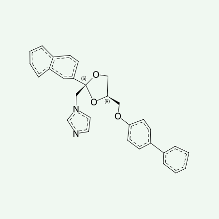 c1ccc(-c2ccc(OC[C@@H]3CO[C@@](Cn4ccnc4)(c4ccc5ccccc5c4)O3)cc2)cc1